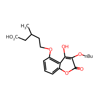 CCCCOc1c(O)c2c(OCCC(C)CC(=O)O)cccc2oc1=O